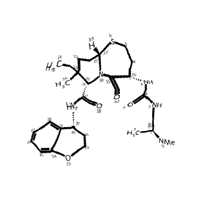 CN[C@@H](C)NC(=O)N[C@H]1CCS[C@H]2CC(C)(C)[C@@H](C(=O)N[C@@H]3CCOc4ccccc43)N2C1=O